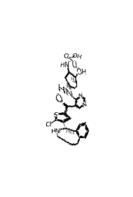 O=C(c1cc([C@H]2NCCCc3ccccc32)c(Cl)s1)c1cncnc1N[C@@H]1C[C](NS(=O)(=O)O)[C@@H](O)C1